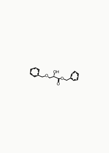 O=C(OCc1ccccc1)[C@H](O)COCc1ccccc1